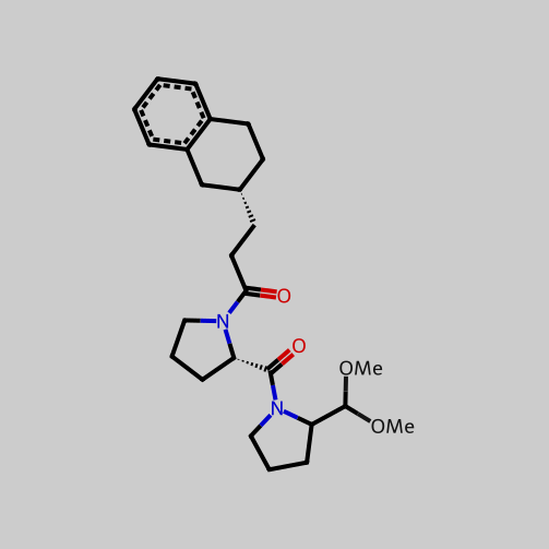 COC(OC)C1CCCN1C(=O)[C@@H]1CCCN1C(=O)CC[C@H]1CCc2ccccc2C1